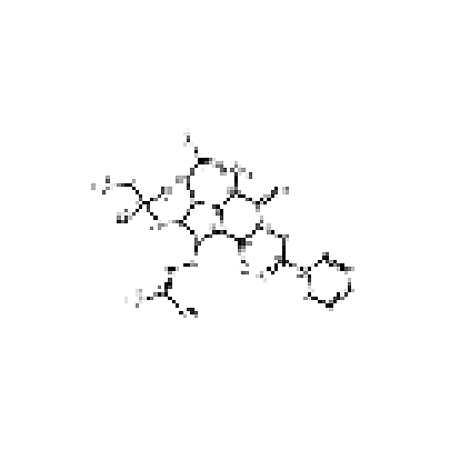 CCC(CC)(CN)SC1N(CC=C(C)C)c2c(n(C)c(=O)n(CC(=O)c3ccccc3)c2=O)N1OC(=O)C(F)(F)F